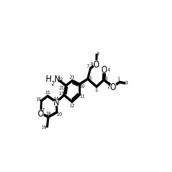 CCOC(=O)CC(COC)c1ccc(N2CCOC(C)C2)c(N)c1